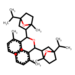 Cc1ccccc1C(OC(c1ccccc1C)C1CC2(C(C)C)CCC1(C)O2)C1CC2(C(C)C)CCC1(C)O2